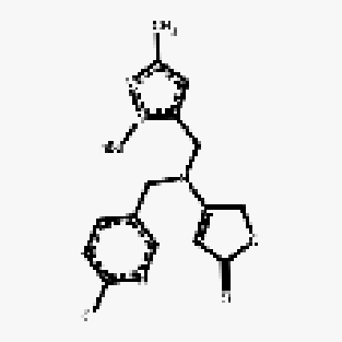 CCCCn1nc(C)cc1CN(Cc1ccc(Cl)nc1)C1=CC(=O)OC1